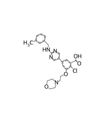 Cc1cccc(CNc2ncc(-c3cc(OCCN4CCOCC4)c(Cl)c(C(=O)O)c3)cn2)c1